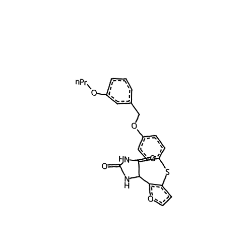 CCCOc1cccc(COc2ccc(Sc3ccoc3C3NC(=O)NC3=O)cc2)c1